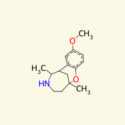 COc1ccc2c(c1)C1CC(C)(CCNC1C)O2